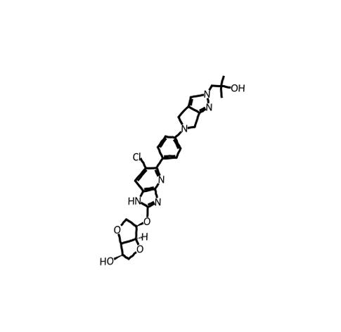 CC(C)(O)Cn1cc2c(n1)CN(c1ccc(-c3nc4nc(O[C@@H]5COC6[C@H](O)CO[C@@H]65)[nH]c4cc3Cl)cc1)C2